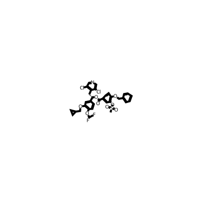 CS(=O)(=O)Oc1cc(C(=O)O[C@@H](Cc2c(Cl)cncc2Cl)c2ccc(OC(F)F)c(OCC3CC3)c2)ccc1OCc1ccccc1